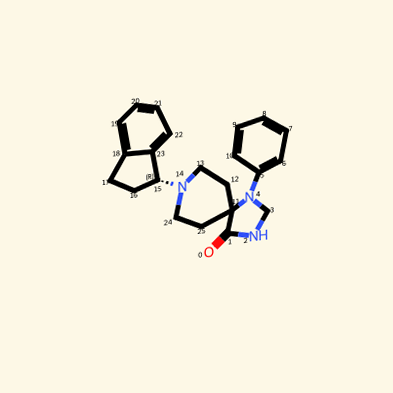 O=C1NCN(c2ccccc2)C12CCN([C@@H]1CCc3ccccc31)CC2